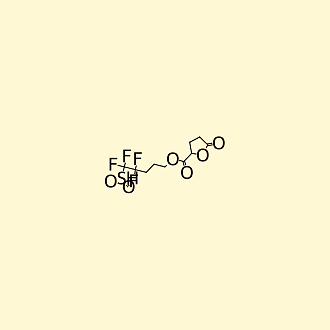 O=C1CCC(C(=O)OCCCC(F)(F)C(F)(F)[SH](=O)=O)O1